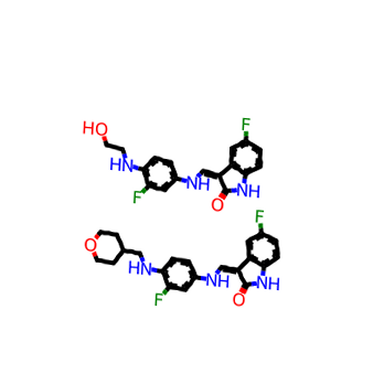 O=C1Nc2ccc(F)cc2C1=CNc1ccc(NCC2CCOCC2)c(F)c1.O=C1Nc2ccc(F)cc2C1=CNc1ccc(NCCO)c(F)c1